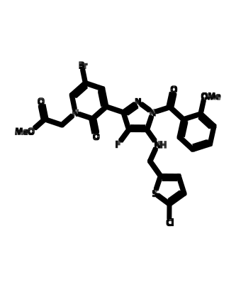 COC(=O)Cn1cc(Br)cc(-c2nn(C(=O)c3ccccc3OC)c(NCc3ccc(Cl)s3)c2F)c1=O